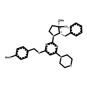 COc1ccc(COc2cc(N3CCOCC3)nc(N3CC[C@](C)(OC)[C@@H]3Cc3ccccc3)n2)cc1